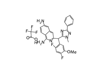 COc1cc(C(c2cc3cc(N)ccc3c(N)n2)c2nc(-c3ccccc3)nn2C)c(F)cc1F.O=C(O)C(F)(F)F